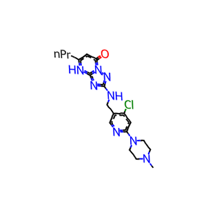 CCCc1cc(=O)n2nc(NCc3cnc(N4CCN(C)CC4)cc3Cl)nc2[nH]1